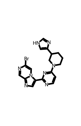 Brc1cn2c(-c3nccc(N4CCCC(c5c[nH]cn5)C4)n3)cnc2cn1